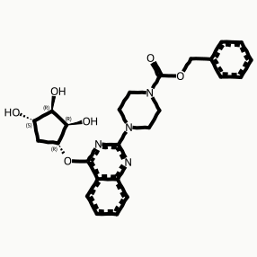 O=C(OCc1ccccc1)N1CCN(c2nc(O[C@@H]3C[C@H](O)[C@@H](O)[C@H]3O)c3ccccc3n2)CC1